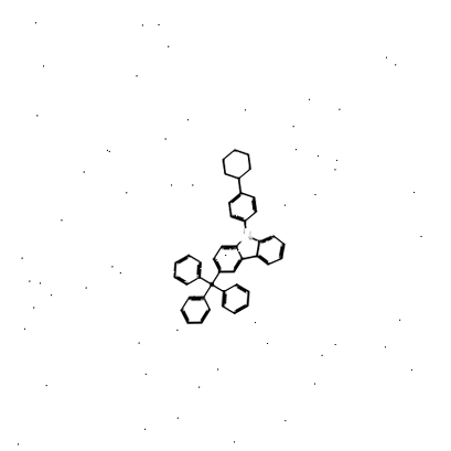 c1ccc(C(c2ccccc2)(c2ccccc2)c2ccc3c(c2)c2ccccc2n3-c2ccc(C3CCCCC3)cc2)cc1